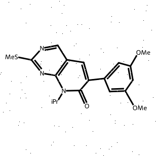 COc1cc(OC)cc(-c2cc3cnc(SC)nc3n(C(C)C)c2=O)c1